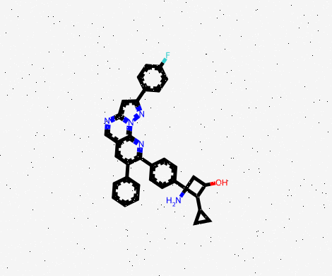 NC1(c2ccc(-c3nc4c(cnc5cc(-c6ccc(F)cc6)nn54)cc3-c3ccccc3)cc2)CC(O)C1C1CC1